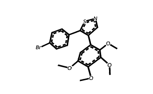 COc1cc(-c2cnsc2-c2ccc(Br)cc2)c(OC)c(OC)c1OC